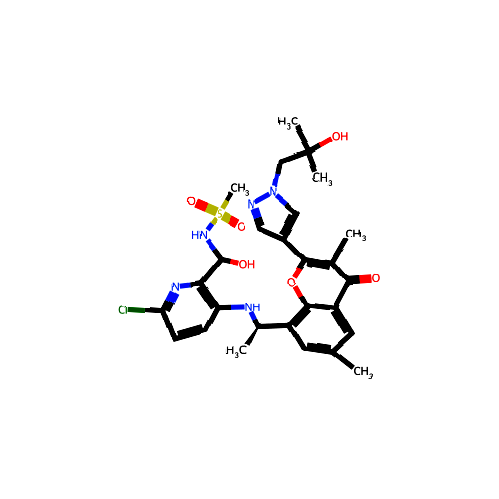 Cc1cc([C@@H](C)Nc2ccc(Cl)nc2C(O)NS(C)(=O)=O)c2oc(-c3cnn(CC(C)(C)O)c3)c(C)c(=O)c2c1